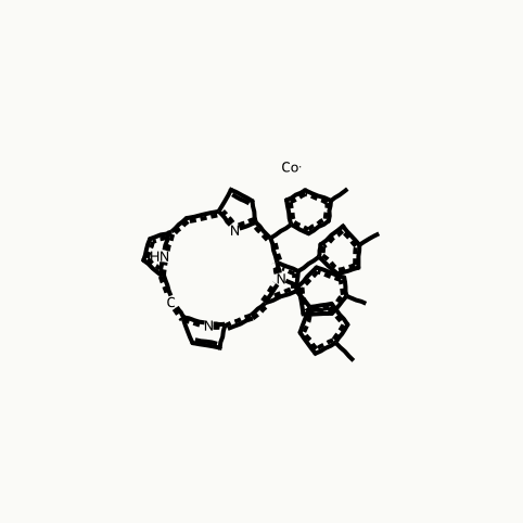 Cc1ccc(-c2c(-c3ccc(C)cc3)c3c(-c4ccc(C)cc4)c4nc(cc5ccc(cc6nc(cc2n3-c2ccc(C)cc2)C=C6)[nH]5)C=C4)cc1.[Co]